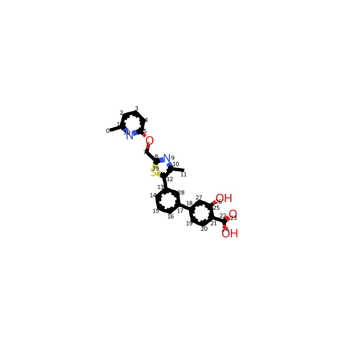 Cc1cccc(OCc2nc(C)c(-c3cccc(-c4ccc(C(=O)O)c(O)c4)c3)s2)n1